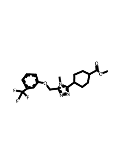 COC(=O)C1CCC(c2nnc(COc3cccc(C(F)(F)F)c3)n2C)CC1